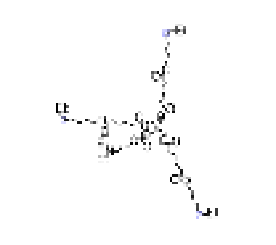 CC/C=C\CCCCOC(=O)CCCCC(=O)OCC(COC(=O)CCCCC(=O)OCCCC/C=C\CC)(COC(=O)CCCCC(=O)OCCCC/C=C\CC)COC(=O)OCCCN(CC)CC